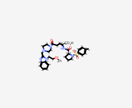 CCOCCn1c(CN2CCN(C(=O)CC[C@H](NC(=O)[C@@H]3CCCN3S(=O)(=O)c3ccc(C)cc3)C(=O)O)CC2)nc2ccccc21